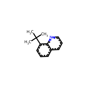 CC(C)(C)c1cccc2cccnc12